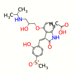 CC(=O)O.CC(C)NCC(O)COc1cccc2c1C(=Cc1ccc([S+](C)[O-])cc1O)C(=O)N2